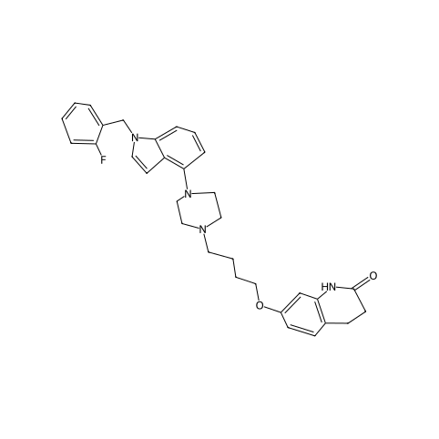 O=C1CCc2ccc(OCCCCN3CCN(c4cccc5c4ccn5Cc4ccccc4F)CC3)cc2N1